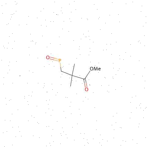 COC(=O)C(C)(C)CP=O